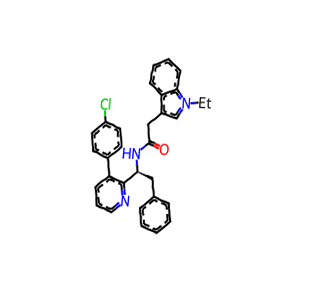 CCn1cc(CC(=O)N[C@@H](Cc2ccccc2)c2ncccc2-c2ccc(Cl)cc2)c2ccccc21